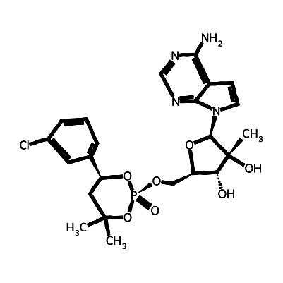 CC1(C)C[C@@H](c2cccc(Cl)c2)O[P@@](=O)(OC[C@H]2O[C@@H](n3ccc4c(N)ncnc43)[C@](C)(O)[C@@H]2O)O1